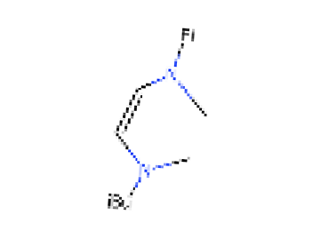 CCC(C)N(C)/C=C\N(C)CC